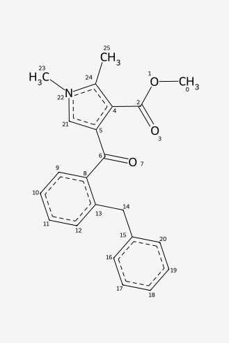 COC(=O)c1c(C(=O)c2ccccc2Cc2ccccc2)cn(C)c1C